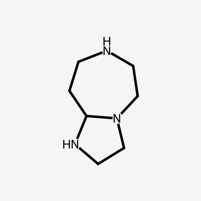 C1CC2NCCN2CCN1